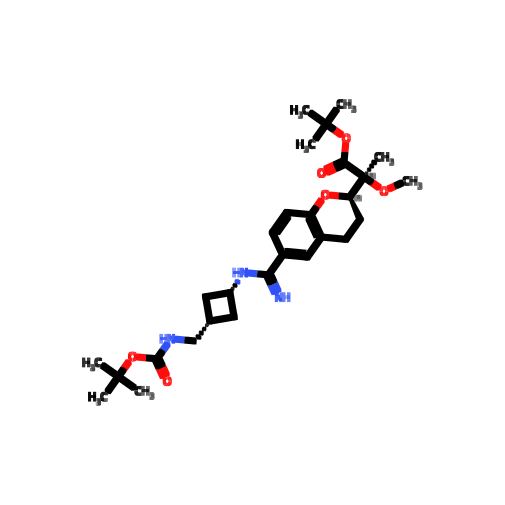 CO[C@](C)(C(=O)OC(C)(C)C)[C@H]1CCc2cc(C(=N)N[C@H]3C[C@@H](CNC(=O)OC(C)(C)C)C3)ccc2O1